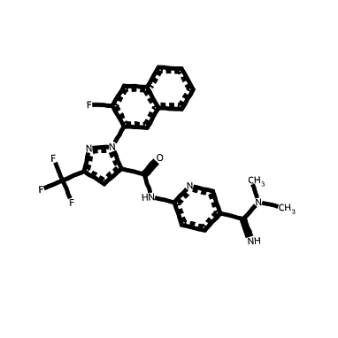 CN(C)C(=N)c1ccc(NC(=O)c2cc(C(F)(F)F)nn2-c2cc3ccccc3cc2F)nc1